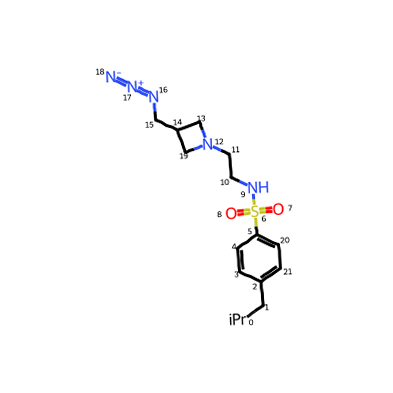 CC(C)Cc1ccc(S(=O)(=O)NCCN2CC(CN=[N+]=[N-])C2)cc1